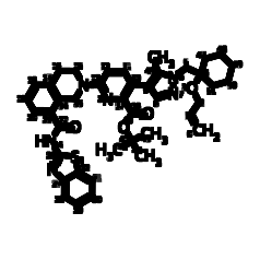 C=CCOC1(Cn2ncc(-c3ccc(N4CCc5cccc(C(=O)Nc6nc7ccccc7s6)c5C4)nc3C(=O)OC(C)(C)C)c2C)CCCCC1